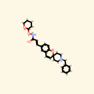 O=C(C=Cc1ccc2c(c1)C=CC1(CCN(Cc3ccccc3)CC1)O2)NOC1CCCCO1